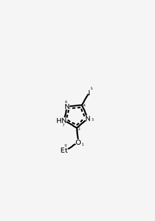 CCOc1nc(I)n[nH]1